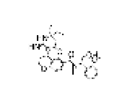 CCC1(CC)CC(=O)N([C@@H]2CCOc3ccc(C(=O)NC(CO)c4ccccc4OC)cc32)C(=N)N1